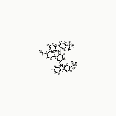 N#Cc1ccc(-c2cc(-n3c4ccccc4c4ccc(C(F)(F)F)cc43)ncc2-n2c3ccccc3c3ccc(C(F)(F)F)cc32)cc1